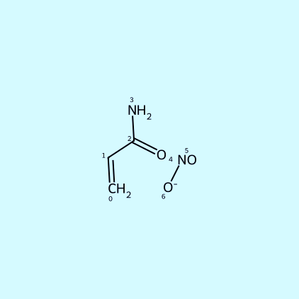 C=CC(N)=O.O=[NH+][O-]